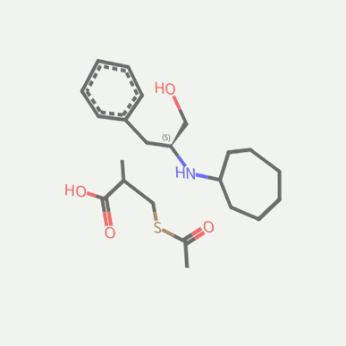 CC(=O)SCC(C)C(=O)O.OC[C@H](Cc1ccccc1)NC1CCCCCC1